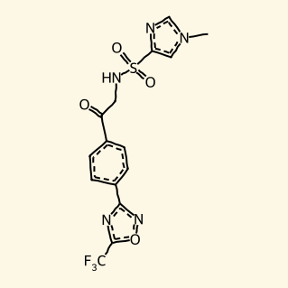 Cn1cnc(S(=O)(=O)NCC(=O)c2ccc(-c3noc(C(F)(F)F)n3)cc2)c1